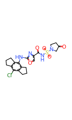 O=C1CCN(S(=O)(=O)NC(=O)c2coc(Nc3c4c(c(Cl)c5c3CCC5)CCC4)n2)C1